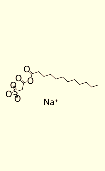 CCCCCCCCCCCC(=O)OC(=O)CS(=O)(=O)[O-].[Na+]